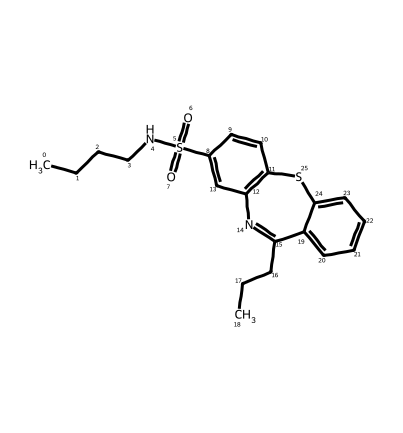 CCCCNS(=O)(=O)c1ccc2c(c1)N=C(CCC)c1ccccc1S2